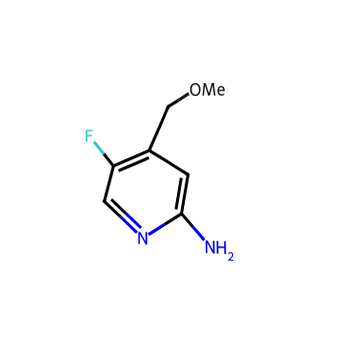 COCc1cc(N)ncc1F